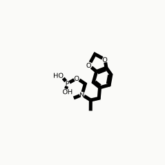 CC(Cc1ccc2c(c1)OCO2)N(C)COP(O)O